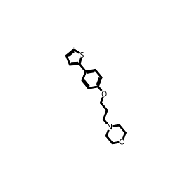 [c]1ccc(-c2ccc(OCCCN3CCOCC3)cc2)s1